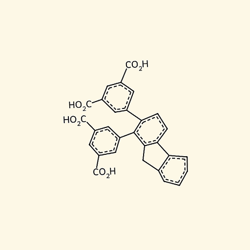 O=C(O)c1cc(C(=O)O)cc(-c2ccc3c(c2-c2cc(C(=O)O)cc(C(=O)O)c2)Cc2ccccc2-3)c1